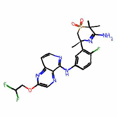 CC1(C)C(N)=N[C@](C)(c2cc(Nc3nccc4nc(OCC(F)F)cnc34)ccc2F)CS1(=O)=O